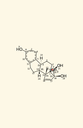 C[C@]12CC[C@@H]3c4ccc(O)cc4CC[C@H]3[C@@]13C=C[C@@]2(O)[C@H](O)C3